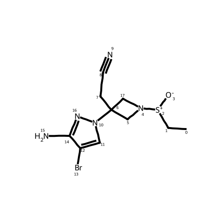 CC[S+]([O-])N1CC(CC#N)(n2cc(Br)c(N)n2)C1